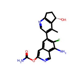 Cc1c(-c2cc3cc(OC(N)=O)ncc3c(N)c2F)cnc2c1[C@@H](O)CC2